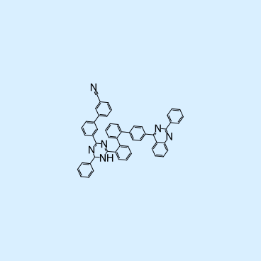 N#Cc1cccc(-c2cccc(C3=NC(c4ccccc4)NC(c4ccccc4-c4ccccc4-c4ccc(-c5nc(-c6ccccc6)nc6ccccc56)cc4)=N3)c2)c1